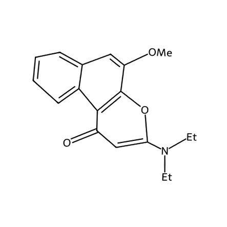 CCN(CC)c1cc(=O)c2c(o1)c(OC)cc1ccccc12